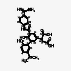 CC(C)c1ccc(O)c(-c2cc(C(CC(=O)O)C(=O)O)cc(-c3nc4cc(C(=N)N)ccc4[nH]3)c2O)c1